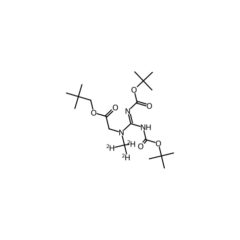 [2H]C([2H])([2H])N(CC(=O)OCC(C)(C)C)C(=NC(=O)OC(C)(C)C)NC(=O)OC(C)(C)C